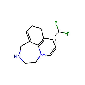 FC(F)[C@@H]1C=CN2CCNCC3=CCCC1=C32